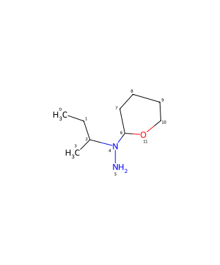 CCC(C)N(N)C1CCCCO1